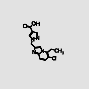 CCc1c(Cl)ccc2nc(Cn3cc(C(=O)O)cn3)cn12